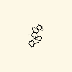 Cc1ccccc1N1[C@@H](C)c2oc3ccsc3c2C12CCCC2